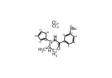 C[SiH](C)[Ti+2]([NH]C(=O)c1cccc(C(C)(C)C)c1)[C]1=CC=CC1.[Cl-].[Cl-]